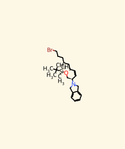 CC(C)(C)[Si](C)(C)OC[C@@H](/C=C\CCCCCCBr)N1Cc2ccccc2C1